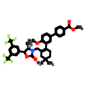 COC(=O)c1ccc(-c2ccc(OC)c(C3=C(CN4C(=O)OC(c5cc(C(F)(F)F)cc(C(F)(F)F)c5)[C@@H]4C)CC(C)(C)CC3)c2)cc1